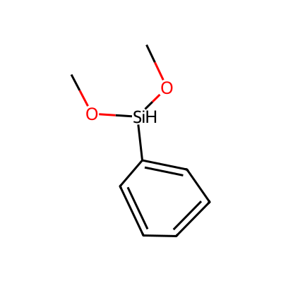 CO[SiH](OC)c1ccccc1